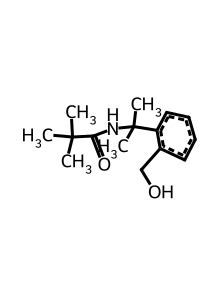 CC(C)(C)C(=O)NC(C)(C)c1ccccc1CO